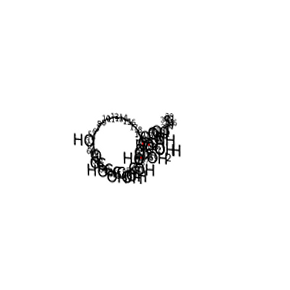 C[C@@H]1[C@H](O)[C@@H](C)/C=C/C=C/C=C/C=C/C=C/C=C/C=C/[C@H](O[C@@H]2O[C@H](C)[C@@H](O)[C@H](NC(=O)OCC[Si](C)(C)C)[C@@H]2O)C[C@@H]2O[C@](O)(C[C@@H](O)C[C@@H](O)[C@H](O)CC[C@@H](O)C[C@@H](O)CC(=O)O[C@H]1C)C[C@H](O)[C@H]2C(=O)O